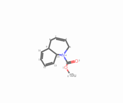 CC(C)(C)OC(=O)N1CC=CCC2C=CC=CC21